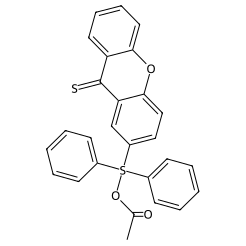 CC(=O)OS(c1ccccc1)(c1ccccc1)c1ccc2oc3ccccc3c(=S)c2c1